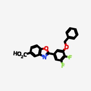 O=C(O)c1ccc2oc(-c3cc(F)c(F)c(OCc4ccccc4)c3)nc2c1